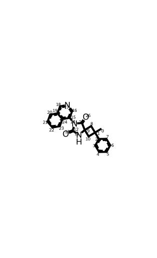 CC1(c2ccccc2)CC2(C1)NC(=O)N(c1cncc3ccccc13)C2=O